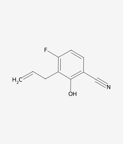 C=CCc1c(F)ccc(C#N)c1O